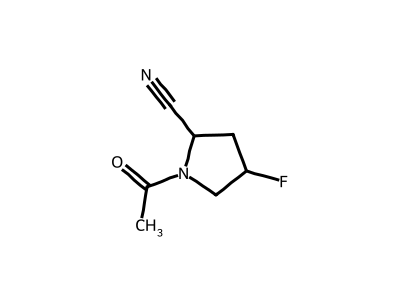 CC(=O)N1CC(F)CC1C#N